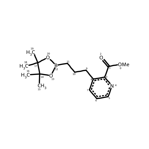 COC(=O)c1ncccc1CCCB1OC(C)(C)C(C)(C)O1